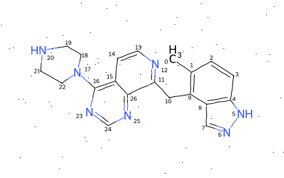 Cc1ccc2[nH]ncc2c1Cc1nccc2c(N3CCNCC3)ncnc12